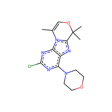 CC1=COC(C)(C)c2nc3c(N4CCOCC4)nc(Cl)nc3n21